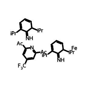 CC(=O)c1cc(C(F)(F)F)cc(C(C)=O)n1.CC(C)C1=CC=CC(C(C)C)C1=N.CC(C)C1=CC=CC(C(C)C)C1=N.[Fe]